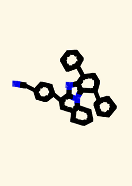 N#Cc1ccc(-c2cc3ccccc3n3c2nc2c(-c4ccccc4)ccc(-c4ccccc4)c23)cc1